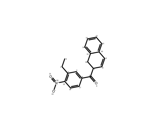 CCc1cc(C(=O)C2C=Cc3ccccc3C2)ccc1[N+](=O)[O-]